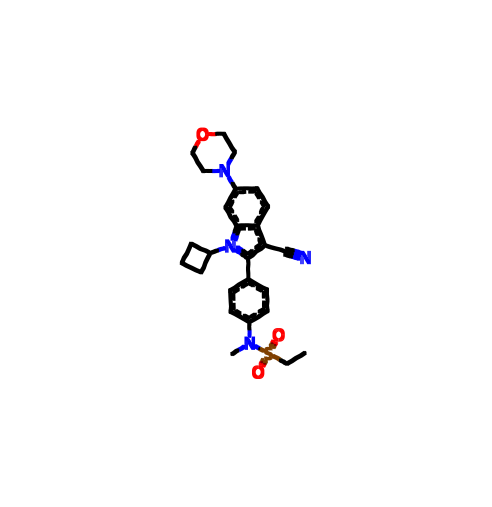 CCS(=O)(=O)N(C)c1ccc(-c2c(C#N)c3ccc(N4CCOCC4)cc3n2C2CCC2)cc1